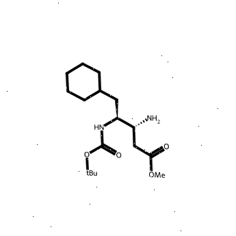 COC(=O)C[C@@H](N)[C@H](CC1CCCCC1)NC(=O)OC(C)(C)C